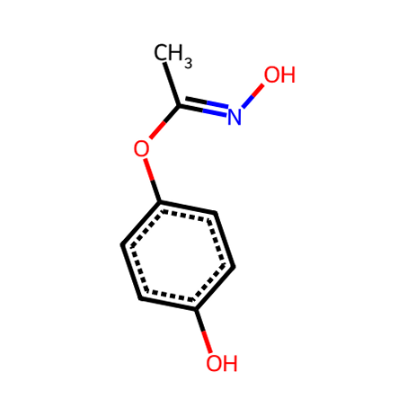 CC(=NO)Oc1ccc(O)cc1